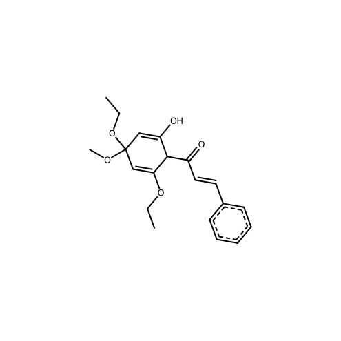 CCOC1=CC(OC)(OCC)C=C(O)C1C(=O)/C=C/c1ccccc1